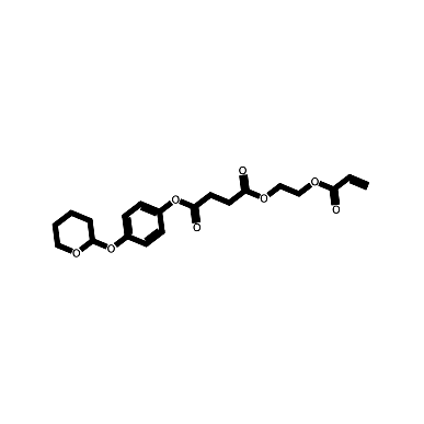 C=CC(=O)OCCOC(=O)CCC(=O)Oc1ccc(OC2CCCCO2)cc1